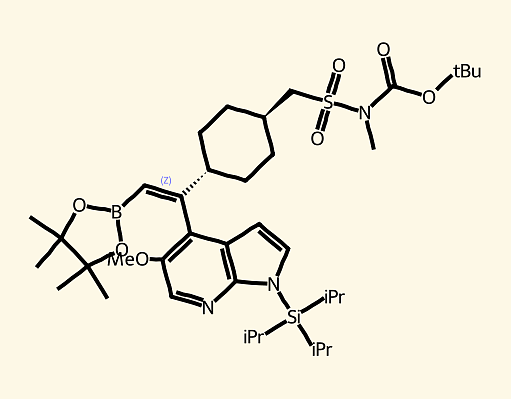 COc1cnc2c(ccn2[Si](C(C)C)(C(C)C)C(C)C)c1/C(=C\B1OC(C)(C)C(C)(C)O1)[C@H]1CC[C@H](CS(=O)(=O)N(C)C(=O)OC(C)(C)C)CC1